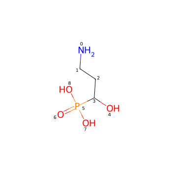 NCCC(O)P(=O)(O)O